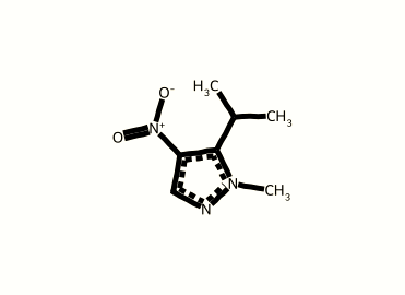 CC(C)c1c([N+](=O)[O-])cnn1C